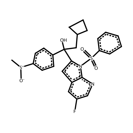 C[S+]([O-])c1ccc(C(O)(CC2CCC2)c2cc3cc(F)cnc3n2S(=O)(=O)c2ccccc2)cc1